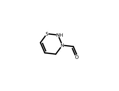 O=CN1CC=CSN1